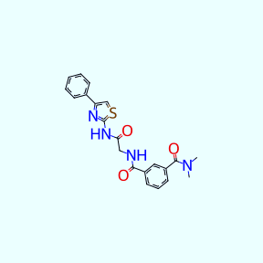 CN(C)C(=O)c1cccc(C(=O)NCC(=O)Nc2nc(-c3ccccc3)cs2)c1